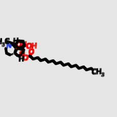 CCCCCCCCCCCCCCCCCC(=O)OC1=CC[C@@]2(O)[C@H]3Cc4ccc(O)c5c4[C@@]2(CCCN3C)[C@H]1O5